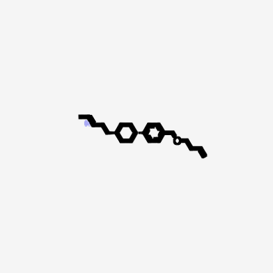 C=CCCOCc1ccc([C@H]2CC[C@H](CC/C=C/C)CC2)cc1